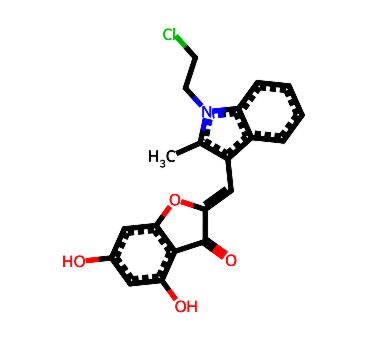 Cc1c(/C=C2\Oc3cc(O)cc(O)c3C2=O)c2ccccc2n1CCCl